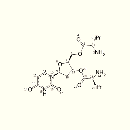 CC(C)[C@H](N)C(=O)OC[C@@H]1O[C@H](n2ccc(=O)[nH]c2=O)CC1OC(=O)[C@@H](N)C(C)C